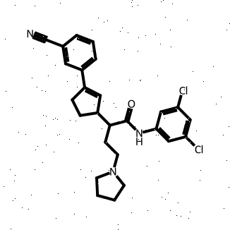 N#Cc1cccc(C2=CC(C(CCN3CCCC3)C(=O)Nc3cc(Cl)cc(Cl)c3)CC2)c1